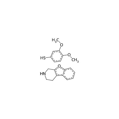 COc1ccc(S)cc1OC.c1ccc2c3c(oc2c1)CNCC3